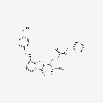 NC(=O)C(CCC(=O)OCc1ccccc1)N1Cc2c(OCc3ccc(CBr)cc3)cccc2C1=O